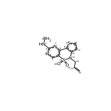 BNc1ncc2c(n1)-c1sccc1N(CC=C)S2(=O)=O